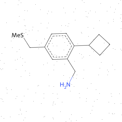 CSCc1ccc(C2CCC2)c(CN)c1